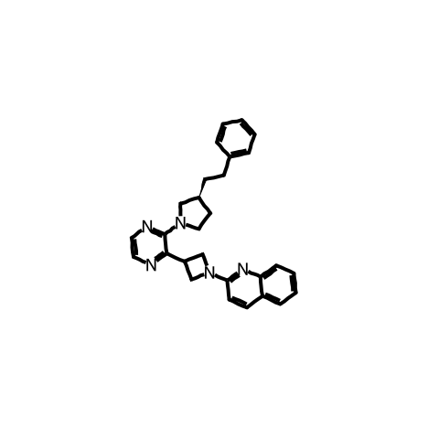 c1ccc(CC[C@H]2CCN(c3nccnc3C3CN(c4ccc5ccccc5n4)C3)C2)cc1